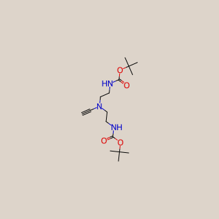 C#CN(CCNC(=O)OC(C)(C)C)CCNC(=O)OC(C)(C)C